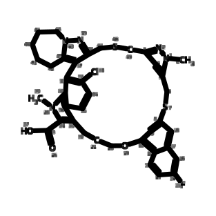 Cn1nc2cc1CSc1cc(c3ccc(F)cc3c1)OCCCc1c(C(=O)O)n(C)c3c(c(Cl)ccc13)-c1c(nn3c1CCCCC3)CSC2